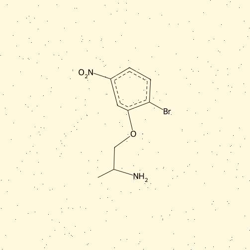 CC(N)COc1cc([N+](=O)[O-])ccc1Br